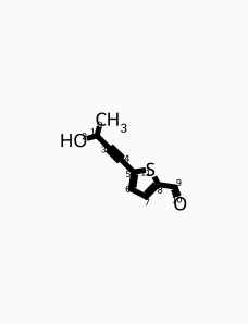 CC(O)C#Cc1ccc(C=O)s1